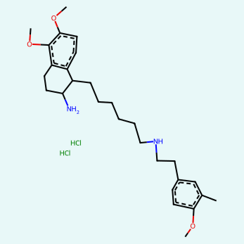 COc1ccc(CCNCCCCCCC2c3ccc(OC)c(OC)c3CCC2N)cc1C.Cl.Cl